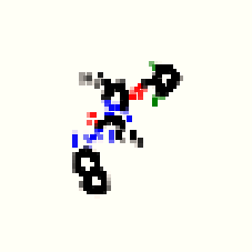 Cc1cc(OCc2c(F)cccc2F)c2nc(C)c(C(=O)NNc3ccc4ccccc4c3)n2c1